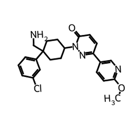 COc1ccc(-c2ccc(=O)n(C3CCC(CN)(c4cccc(Cl)c4)CC3)n2)cn1